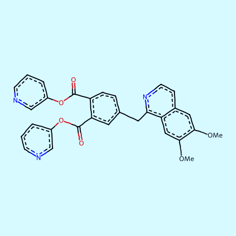 COc1cc2ccnc(Cc3ccc(C(=O)Oc4cccnc4)c(C(=O)Oc4cccnc4)c3)c2cc1OC